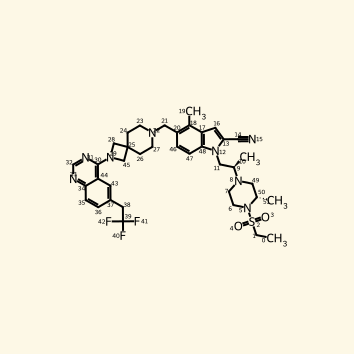 CCS(=O)(=O)N1CCN([C@H](C)Cn2c(C#N)cc3c(C)c(CN4CCC5(CC4)CN(c4ncnc6ccc(CC(F)(F)F)cc46)C5)ccc32)C[C@@H]1C